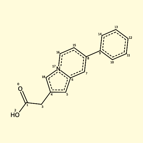 O=C(O)Cc1cc2cc(-c3ccccc3)ccn2c1